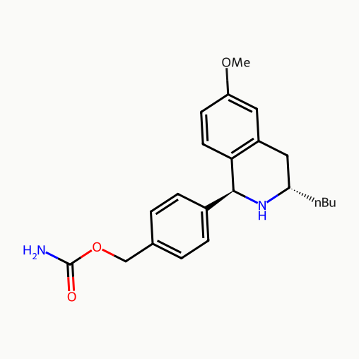 CCCC[C@H]1Cc2cc(OC)ccc2[C@H](c2ccc(COC(N)=O)cc2)N1